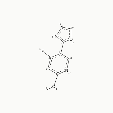 COc1cc(F)c(-c2nnco2)cn1